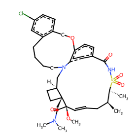 CO[C@]1(C(=O)N(C)C)/C=C/C[C@H](C)[C@@H](C)S(=O)(=O)NC(=O)c2ccc3c(c2)N(CCCCc2cc(Cl)ccc2CO3)C[C@@H]2CC[C@H]21